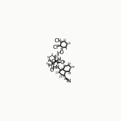 C[C@]12CC[C@](CCOc3cccc(Cl)c3Cl)(O1)[C@@H]1C(=O)N(c3ccc(C#N)c4ccccc34)C(=O)[C@@H]12